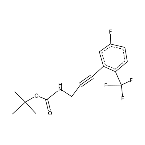 CC(C)(C)OC(=O)NCC#Cc1cc(F)ccc1C(F)(F)F